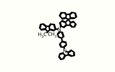 CC1(C)c2ccccc2-c2ccc(N(C3=CCC(c4ccc(-n5c6ccccc6c6ccccc65)cc4)C=C3)c3ccc4c(c3)-c3ccccc3C43c4ccccc4-c4ccccc43)cc21